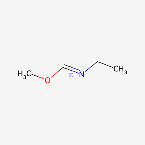 CC/N=C/OC